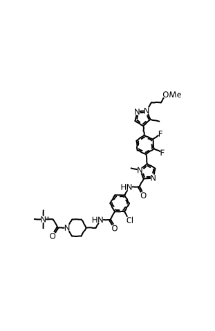 COCCn1ncc(-c2ccc(-c3cnc(C(=O)Nc4ccc(C(=O)NCC5CCN(C(=O)C[N+](C)(C)C)CC5)c(Cl)c4)n3C)c(F)c2F)c1C